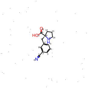 N#Cc1cccc(C[C@@]2(C(=O)O)CCCN2)c1